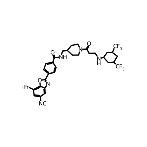 [C-]#[N+]c1cc(C(C)C)c2oc(-c3ccc(C(=O)NCC4CCN(C(=O)CCNC5CC(C(F)(F)F)CC(C(F)(F)F)C5)CC4)cc3)nc2c1